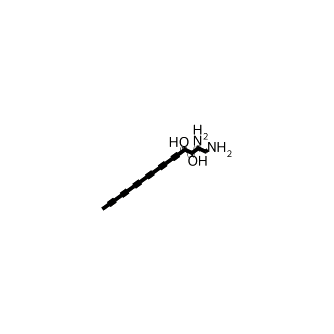 CC#CC#CC#CC#CC#CC#C[C@@H](O)[C@@H](O)[C@@H](N)CN